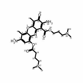 Cc1c2oc3c(C)c(N)cc(OC(=O)CCCN(C)C)c3nc-2c(C(=O)OCCCN(C)C)c(N)c1=O